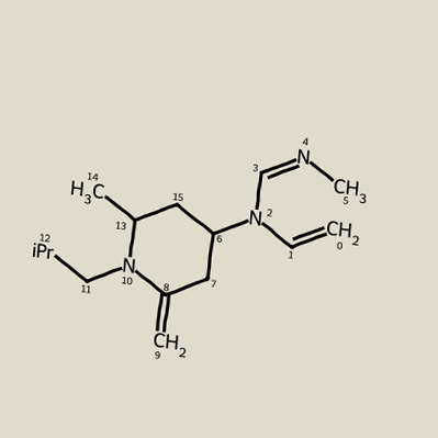 C=CN(/C=N\C)C1CC(=C)N(CC(C)C)C(C)C1